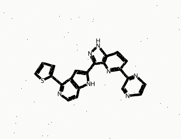 c1csc(-c2nccc3[nH]c(-c4n[nH]c5ccc(-c6cnccn6)nc45)cc23)c1